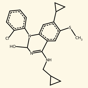 CSc1cc2c(cc1C1CC1)N(c1ccccc1Cl)C(O)N=C2NCC1CC1